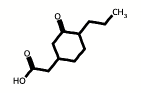 CCCC1CCC(CC(=O)O)CC1=O